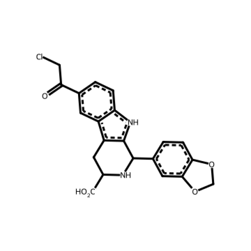 O=C(CCl)c1ccc2[nH]c3c(c2c1)CC(C(=O)O)NC3c1ccc2c(c1)OCO2